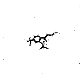 CC(C)n1nc(CCN)c2ccc(C(C)(C)C)cc21